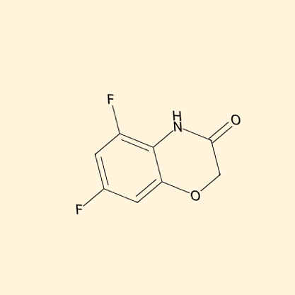 O=C1COc2cc(F)cc(F)c2N1